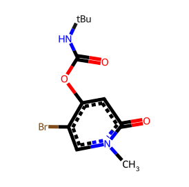 Cn1cc(Br)c(OC(=O)NC(C)(C)C)cc1=O